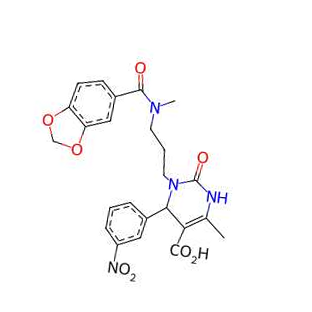 CC1=C(C(=O)O)C(c2cccc([N+](=O)[O-])c2)N(CCCN(C)C(=O)c2ccc3c(c2)OCO3)C(=O)N1